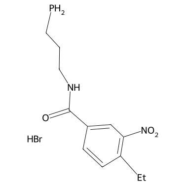 Br.CCc1ccc(C(=O)NCCCP)cc1[N+](=O)[O-]